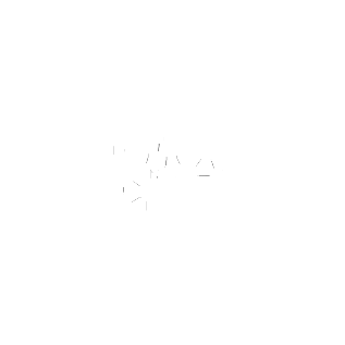 COc1ccc(-c2sc3c(c2C)c(=O)c(C(C)O)cn3Cc2ccccc2F)cc1